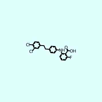 O=C(O)c1c(F)cccc1Nc1ccc(CCc2ccc(Cl)c(Cl)c2)cc1